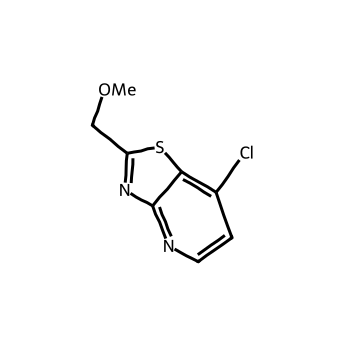 COCc1nc2nccc(Cl)c2s1